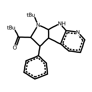 CC(C)(C)C(=O)C1C(c2ccccc2)C2c3cccnc3NC2N1C(C)(C)C